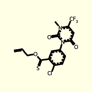 C=CCOC(=S)c1cc(-n2c(=O)cc(C(F)(F)F)n(C)c2=O)ccc1Cl